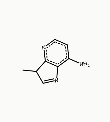 CC1C=Nc2c(N)ccnc21